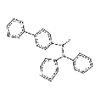 FN(c1ccc(-c2ccccn2)cc1)N(c1ccccc1)c1ccccc1